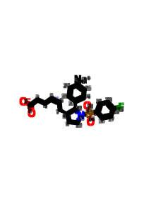 O=C([O-])CC/C=C\C[C@@H]1CCN(S(=O)(=O)c2ccc(F)cc2)[C@@H]1c1ccccc1.[Na+]